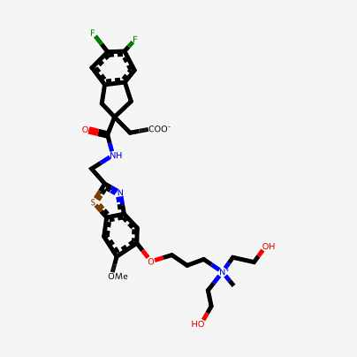 COc1cc2sc(CNC(=O)C3(CC(=O)[O-])Cc4cc(F)c(F)cc4C3)nc2cc1OCCC[N+](C)(CCO)CCO